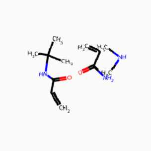 C=CC(=O)NC(C)(C)C.C=CC(N)=O.CNC